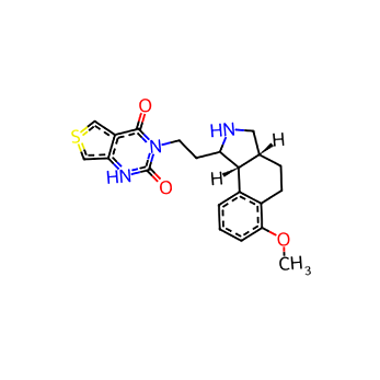 COc1cccc2c1CC[C@H]1CNC(CCn3c(=O)[nH]c4cscc4c3=O)[C@@H]21